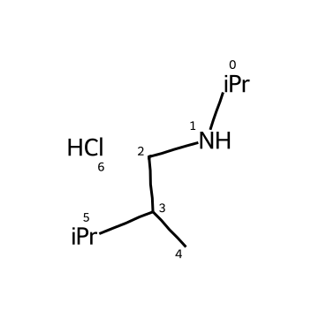 CC(C)NCC(C)C(C)C.Cl